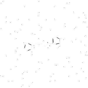 O=S(=O)(CCNCc1ccccc1)c1ccc(F)cc1